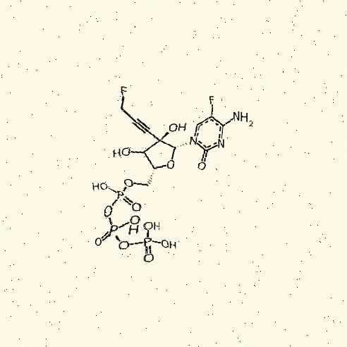 Nc1nc(=O)n([C@@H]2O[C@H](COP(=O)(O)OP(=O)(O)OP(=O)(O)O)C(O)[C@]2(O)C#CCF)cc1F